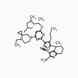 CCCc1c(-c2nc(O[C@@H](C)[C@@H]3C[C@@H](F)CN3C)cc(N3CCN(CC)C4(CC4)C3)n2)noc1[C@@]1(C)CCCc2sc(N)c(C#N)c21